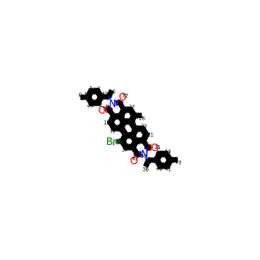 Cc1ccc(C(C)N2C(=O)c3ccc4c5c(Br)cc6c7c(ccc(c8c(C)cc(c3c48)C2=O)c75)C(=O)N(C(C)c2ccc(C)cc2)C6=O)cc1